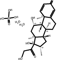 C[C@H]1C[C@H]2[C@@H]3CCC4=CC(=O)C=C[C@]4(C)[C@@]3(F)[C@@H](O)C[C@]2(C)[C@@]1(O)C(=O)CO.O.O.O=P(O)(O)O